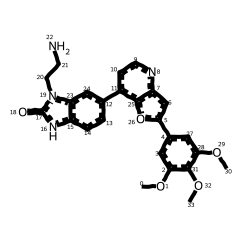 COc1cc(-c2cc3nccc(-c4ccc5[nH]c(=O)n(CCN)c5c4)c3o2)cc(OC)c1OC